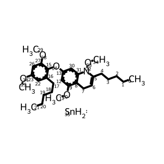 CCCCCC1=CCc2c(OC)cc(Oc3c(CCCCC)cc(OC)cc3OC)cc2N1OC.[SnH2]